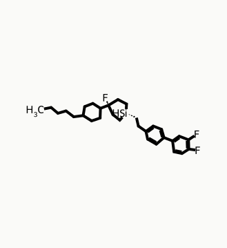 CCCCCC1CCC([C@]2(F)CC[Si@@H](CCc3ccc(-c4ccc(F)c(F)c4)cc3)CC2)CC1